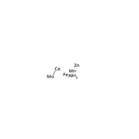 [AlH3].[Fe].[Mn].[Mo][Ce].[Zn]